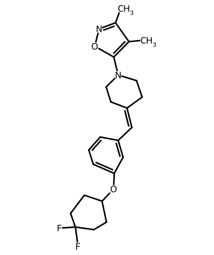 Cc1noc(N2CCC(=Cc3cccc(OC4CCC(F)(F)CC4)c3)CC2)c1C